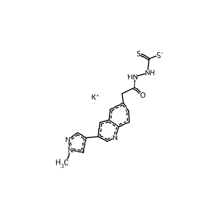 Cn1cc(-c2cnc3ccc(CC(=O)NNC(=S)[S-])cc3c2)cn1.[K+]